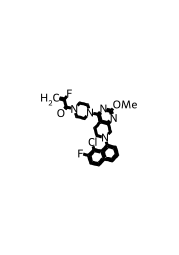 C=C(F)C(=O)N1CCN(c2nc(OC)nc3c2CCN(c2cccc4ccc(F)c(Cl)c24)C3)CC1